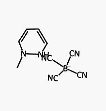 CN1C=CC=CN1.N#C[B-](C#N)(C#N)C#N